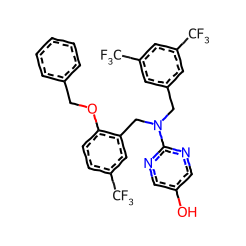 Oc1cnc(N(Cc2cc(C(F)(F)F)cc(C(F)(F)F)c2)Cc2cc(C(F)(F)F)ccc2OCc2ccccc2)nc1